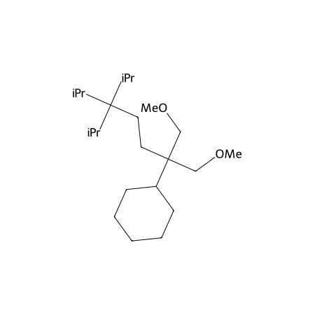 COCC(CCC(C(C)C)(C(C)C)C(C)C)(COC)C1CCCCC1